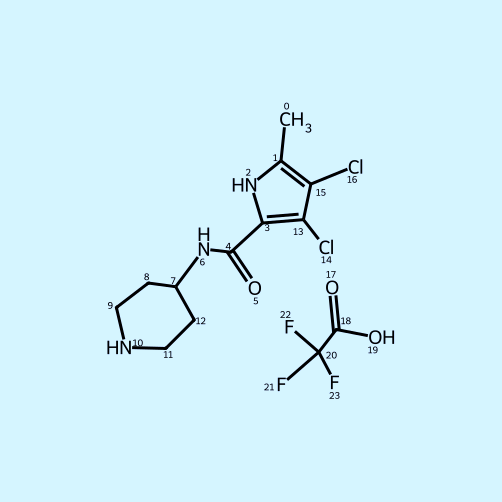 Cc1[nH]c(C(=O)NC2CCNCC2)c(Cl)c1Cl.O=C(O)C(F)(F)F